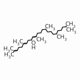 CC(C)=CCC/C(C)=C/CC(O)/C=C(\C)CCC[C@H](C)CCC[C@H](C)CCCC(C)C